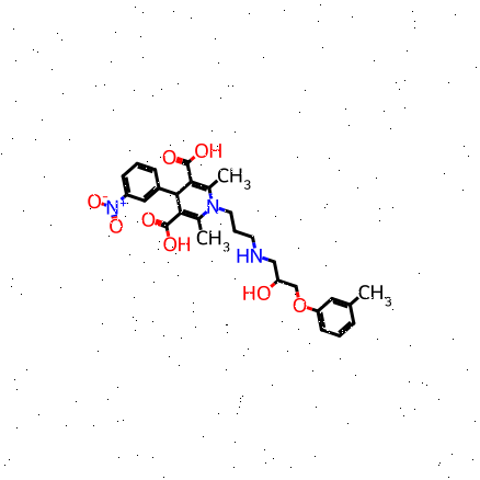 CC1=C(C(=O)O)C(c2cccc([N+](=O)[O-])c2)C(C(=O)O)=C(C)N1CCCNCC(O)COc1cccc(C)c1